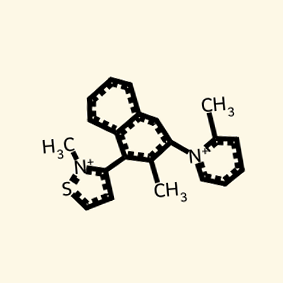 Cc1c(-[n+]2ccccc2C)cc2ccccc2c1-c1ccs[n+]1C